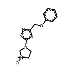 [O-][NH+]1CCN(c2nnc(COc3ccccc3)s2)C1